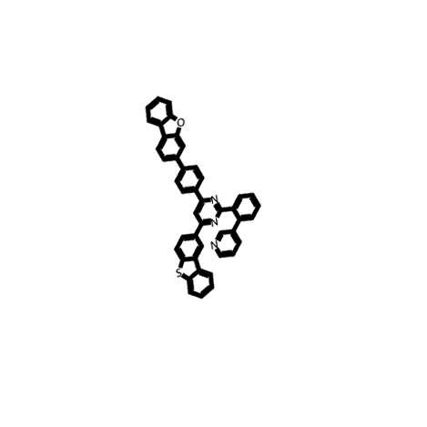 c1cncc(-c2ccccc2-c2nc(-c3ccc(-c4ccc5c(c4)oc4ccccc45)cc3)cc(-c3ccc4sc5ccccc5c4c3)n2)c1